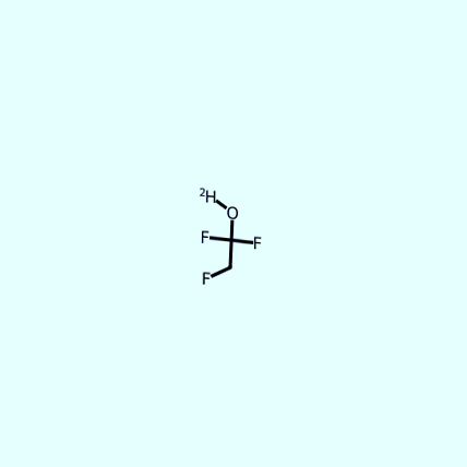 [2H]OC(F)(F)CF